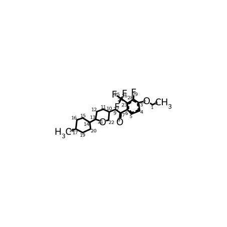 CCOc1ccc(C(=O)CC2CCC(C3CCC(C)CC3)OC2)c(C(F)(F)F)c1F